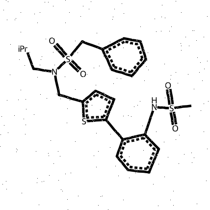 CC(C)CN(Cc1ccc(-c2ccccc2NS(C)(=O)=O)s1)S(=O)(=O)Cc1ccccc1